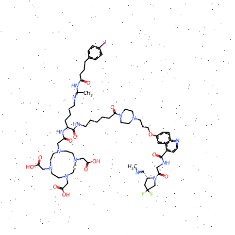 C/N=C/[C@H]1CC(F)(F)CN1C(=O)CNC(=O)c1ccnc2ccc(OCCCN3CCN(C(=O)CCCCCNC(=O)C(CCCC/N=C(\C)NC(=O)CCCc4ccc(I)cc4)NC(=O)CN4CCN(CC(=O)O)CCN(CC(=O)O)CCN(CC(=O)O)CC4)CC3)cc12